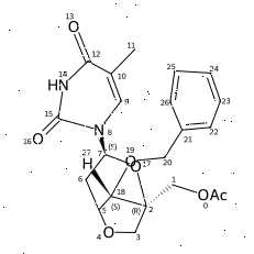 CC(=O)OC[C@@]12COC(C[C@@H](n3cc(C)c(=O)[nH]c3=O)O1)[C@@H]2OCc1ccccc1